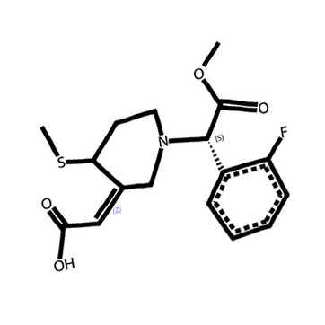 COC(=O)[C@H](c1ccccc1F)N1CCC(SC)/C(=C\C(=O)O)C1